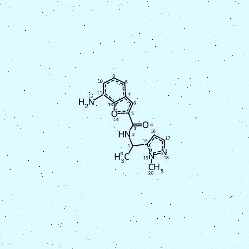 CC(NC(=O)c1cc2cccc(N)c2o1)c1ccnn1C